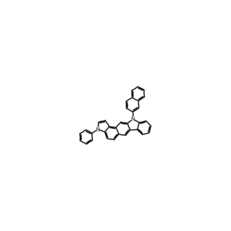 c1ccc(-n2ccc3c4cc5c(cc4ccc32)c2ccccc2n5-c2ccc3ccccc3c2)cc1